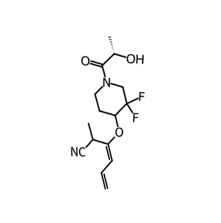 C=C/C=C(/OC1CCN(C(=O)[C@H](C)O)CC1(F)F)C(C)C#N